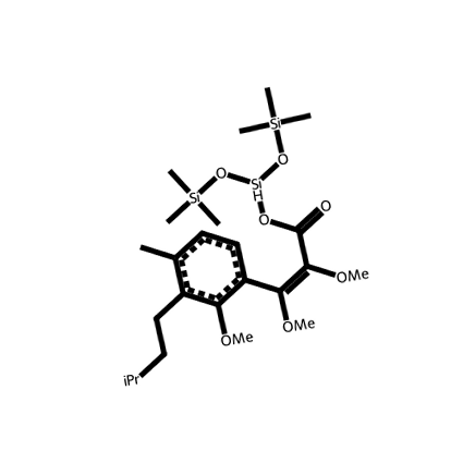 COC(C(=O)O[SiH](O[Si](C)(C)C)O[Si](C)(C)C)=C(OC)c1ccc(C)c(CCC(C)C)c1OC